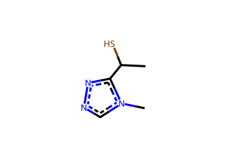 CC(S)c1nncn1C